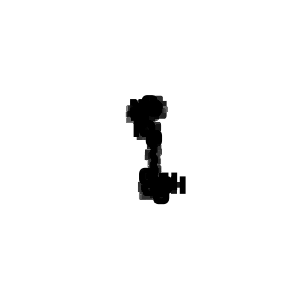 O=C(CCCCCCOc1ccc(-c2ccnn2C2CCCCO2)nc1)NC1(C(=O)O)CCCC1